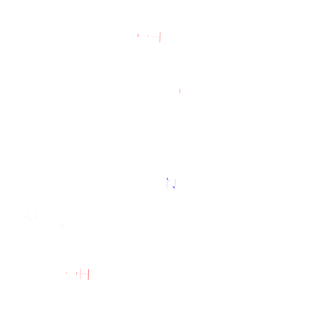 C1=C2C=C3CCCCC3N=C2CCC1.O=C(O)CCCCC(=O)O